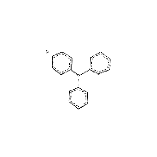 [Fe].c1ccc(P(c2ccccc2)c2ccccc2)cc1